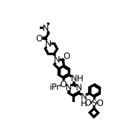 Cc1cnc(Nc2cc3c(cc2OC(C)C)CN(C2CCN(C(=O)CN(C)C)CC2)C3=O)nc1Nc1ccccc1S(=O)(=O)C1CCC1